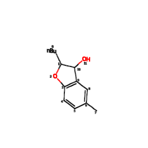 CCCCC1Oc2ccc(C)cc2C1O